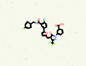 O=C(O)c1cccc(N2N=C(C(F)(F)F)/C(=C/c3ccc(-c4ccc(Cl)c(C(=O)NCc5ccc(F)cc5)c4)o3)C2=O)c1